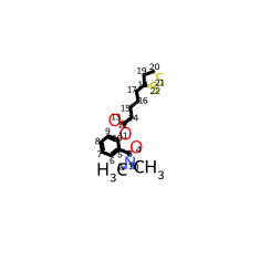 CN(C)C(=O)c1ccccc1OC(=O)CCCCC1CCSS1